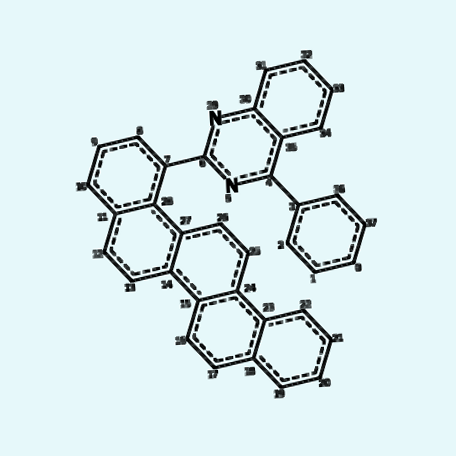 c1ccc(-c2nc(-c3cccc4ccc5c6ccc7ccccc7c6ccc5c34)nc3ccccc23)cc1